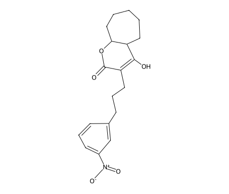 O=C1OC2CCCCCC2C(O)=C1CCCc1cccc([N+](=O)[O-])c1